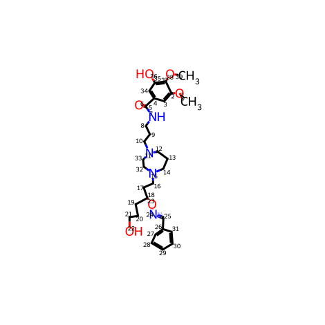 COc1cc(C(=O)NCCCN2CCCN(CCC(CCCO)O/N=C/c3ccccc3)CC2)cc(O)c1OC